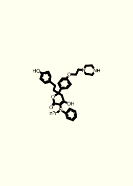 CCCN(C1=C(O)CC(CCc2ccc(O)cc2)(c2ccc(OCCN3CCNCC3)cc2)OC1=O)c1ccccc1